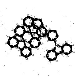 c1ccc(N(c2cccc(-n3c4ccccc4c4ccccc43)c2)c2cccc3c2C2(c4ccccc4-c4ccccc42)c2ccccc2C32c3ccccc3-c3ccccc32)cc1